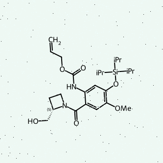 C=CCOC(=O)Nc1cc(O[Si](C(C)C)(C(C)C)C(C)C)c(OC)cc1C(=O)N1CC[C@H]1CO